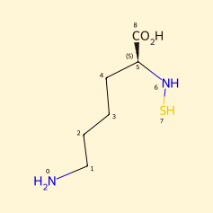 NCCCC[C@H](NS)C(=O)O